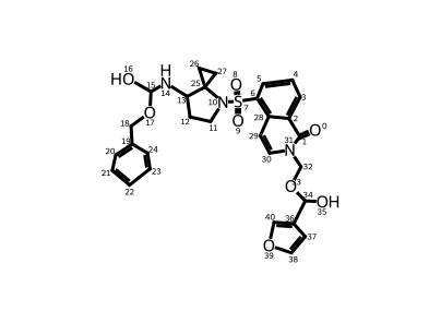 O=c1c2cccc(S(=O)(=O)N3CCC(NC(O)OCc4ccccc4)C34CC4)c2ccn1COC(O)c1ccoc1